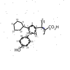 CC/C(=C(/C)C(=O)O)c1cc(C2CCCCC2)n(-c2ccc(O)cc2)n1